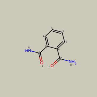 [NH]C(=O)c1ccccc1C(N)=O